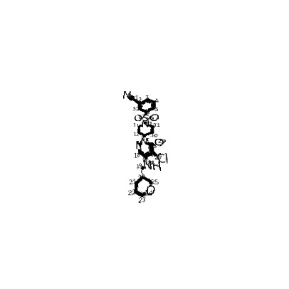 N#Cc1cccc(S(=O)(=O)N2CCC(n3ncc(NC[C@H]4CCCOC4)c(Cl)c3=O)CC2)c1